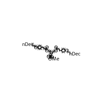 CCCCCCCCCCCCOc1ccc(C=CC(=O)OCC[N+](C)(C)CCOC(=O)C=Cc2ccc(OCCCCCCCCCCCC)cc2)cc1.COS(=O)(=O)[O-]